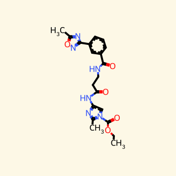 CCOC(=O)n1cc(NC(=O)CCNC(=O)c2cccc(-c3noc(C)n3)c2)nc1C